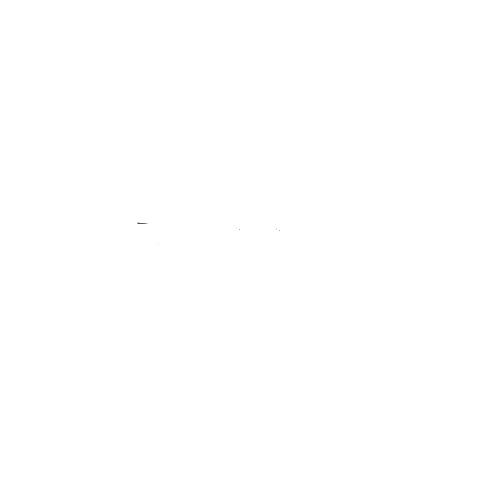 CC1(COC[C@H]2CN(S(=O)(=O)c3cccs3)CCN2c2ccc([C@](C)(O)C(F)(F)F)cc2)COC1